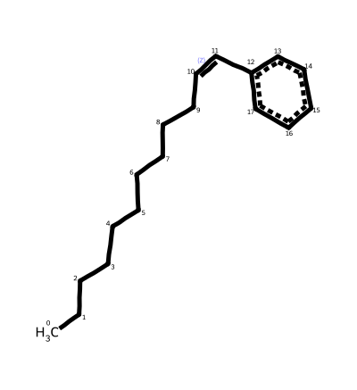 CCCCCCCCCC/C=C\c1ccccc1